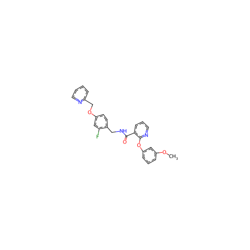 COc1cccc(Oc2ncccc2C(=O)NCc2ccc(OCc3ccccn3)cc2F)c1